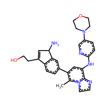 Cc1c(-c2ccc3c(c2)C(N)C=C3CCO)cc(Nc2ccc(N3CCOCC3)cn2)c2nccn12